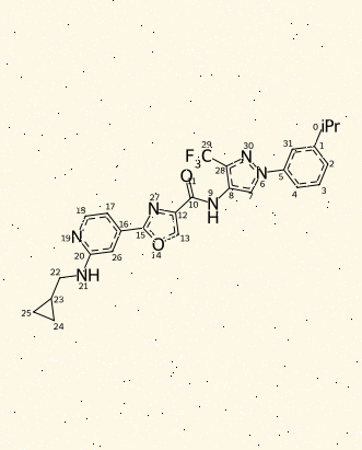 CC(C)c1cccc(-n2cc(NC(=O)c3coc(-c4ccnc(NCC5CC5)c4)n3)c(C(F)(F)F)n2)c1